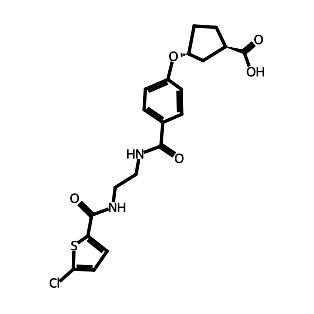 O=C(NCCNC(=O)c1ccc(Cl)s1)c1ccc(O[C@@H]2CC[C@@H](C(=O)O)C2)cc1